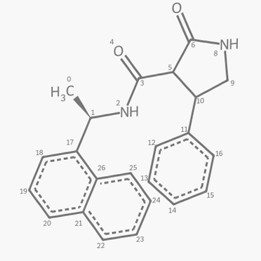 C[C@@H](NC(=O)C1C(=O)NCC1c1ccccc1)c1cccc2ccccc12